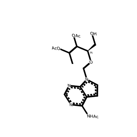 CC(=O)Nc1ncnc2c1ccn2CO[C@H](CO)C(OC(C)=O)C(C)OC(C)=O